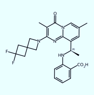 Cc1cc([C@@H](C)Nc2ccccc2C(=O)O)c2nc(N3CC4(C3)CC(F)(F)C4)c(C)c(=O)n2c1